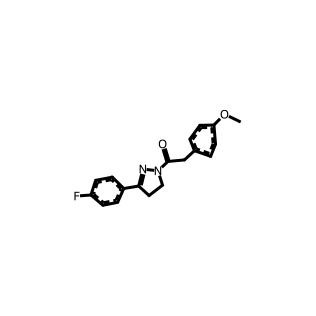 COc1ccc(CC(=O)N2CCC(c3ccc(F)cc3)=N2)cc1